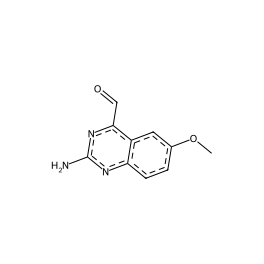 COc1ccc2nc(N)nc(C=O)c2c1